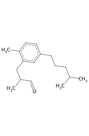 Cc1ccc(CCCC(C)C)cc1CC(C)C=O